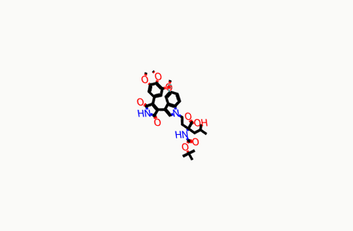 COc1cc(C2=C(c3cn(CCC(CC(C)C)(NC(=O)OC(C)(C)C)C(=O)O)c4ccc(F)cc34)C(=O)NC2=O)cc(OC)c1OC